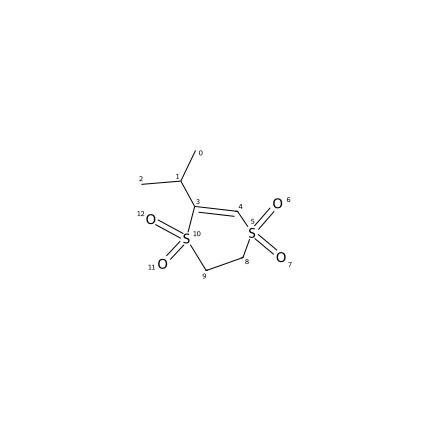 CC(C)C1=CS(=O)(=O)CCS1(=O)=O